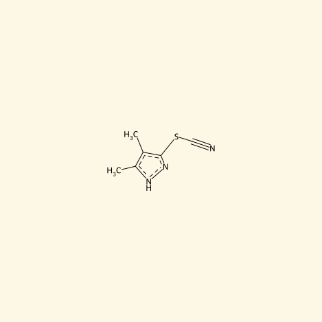 Cc1[nH]nc(SC#N)c1C